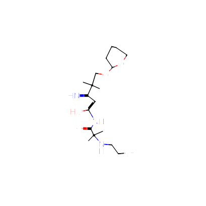 CC(C)(COC1CCCCO1)C(=N)/C=C(\O)NC(=O)C(C)(C)NCCC(F)(F)F